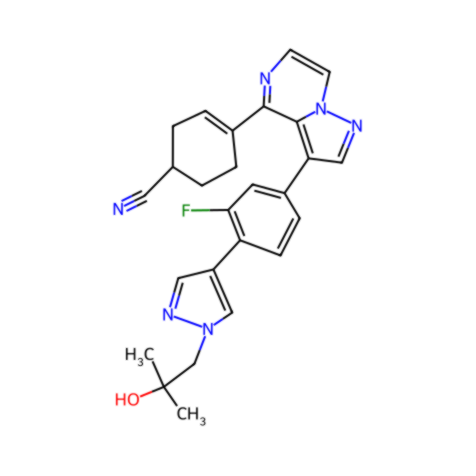 CC(C)(O)Cn1cc(-c2ccc(-c3cnn4ccnc(C5=CCC(C#N)CC5)c34)cc2F)cn1